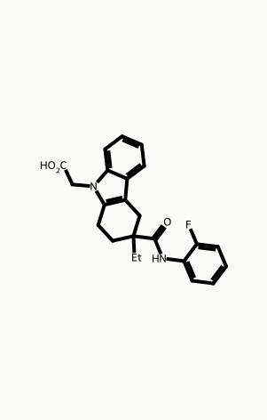 CCC1(C(=O)Nc2ccccc2F)CCc2c(c3ccccc3n2CC(=O)O)C1